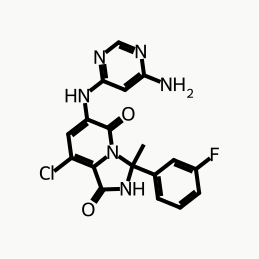 CC1(c2cccc(F)c2)NC(=O)c2c(Cl)cc(Nc3cc(N)ncn3)c(=O)n21